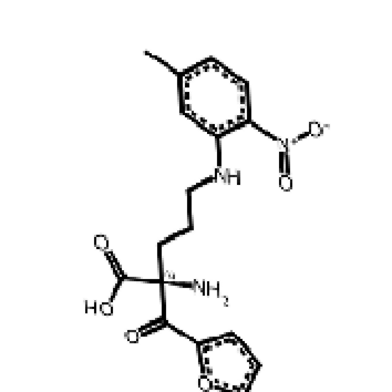 Cc1ccc([N+](=O)[O-])c(NCCC[C@@](N)(C(=O)O)C(=O)c2ccco2)c1